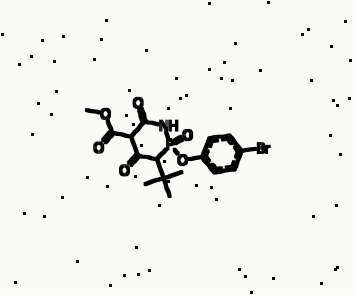 COC(=O)C1C(=O)NP(=O)(Oc2ccc(Br)cc2)C(C(C)(C)C)C1=O